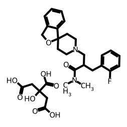 CN(C)C(=O)C(Cc1ccccc1F)CN1CCC2(CC1)OCc1ccccc12.O=C(O)CC(O)(CC(=O)O)C(=O)O